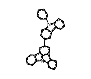 c1ccc(-n2c3ccccc3c3cc(-c4cc5c6ccccc6n6c7ccccc7c(c4)c56)ccc32)cc1